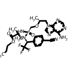 CCCOC(=O)C(C)(C)N[P@@](=O)(CO[C@H](C)Cn1cnc2c(N)ncnc21)N[C@@H](c1ccc(C#N)cc1)C(F)(F)F